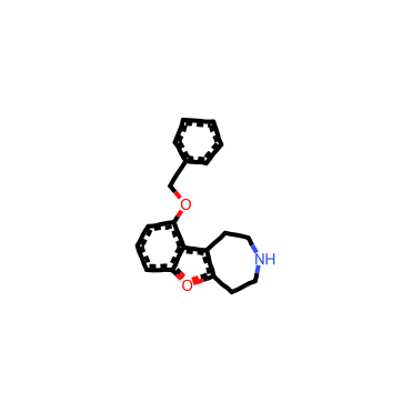 c1ccc(COc2cccc3oc4c(c23)CCNCC4)cc1